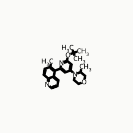 Cc1ccc2ncccc2c1-c1cc(N2CCOCC2C)cc(OC(C)(C)C)n1